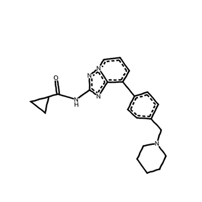 O=C(Nc1nc2c(-c3ccc(CN4CCCCC4)cc3)cccn2n1)C1CC1